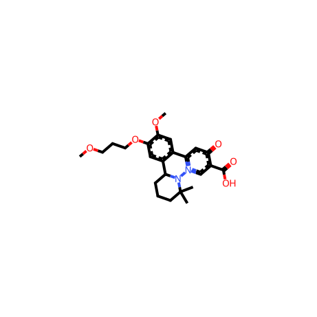 COCCCOc1cc2c(cc1OC)-c1cc(=O)c(C(=O)O)cn1N1C2CCCC1(C)C